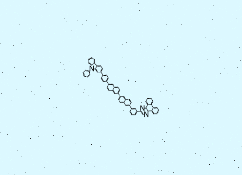 c1ccc(-n2c3ccccc3c3ccc(-c4ccc(-c5ccc6cc(-c7ccc8cc(-c9cccc(-c%10cnc%11c%12ccccc%12c%12ccccc%12c%11n%10)c9)ccc8c7)ccc6c5)cc4)cc32)cc1